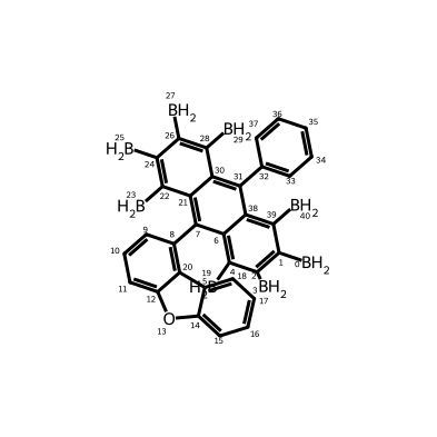 Bc1c(B)c(B)c2c(-c3cccc4oc5ccccc5c34)c3c(B)c(B)c(B)c(B)c3c(-c3ccccc3)c2c1B